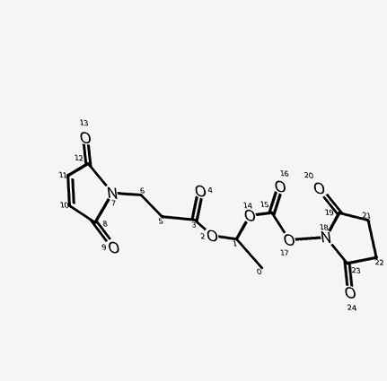 CC(OC(=O)CCN1C(=O)C=CC1=O)OC(=O)ON1C(=O)CCC1=O